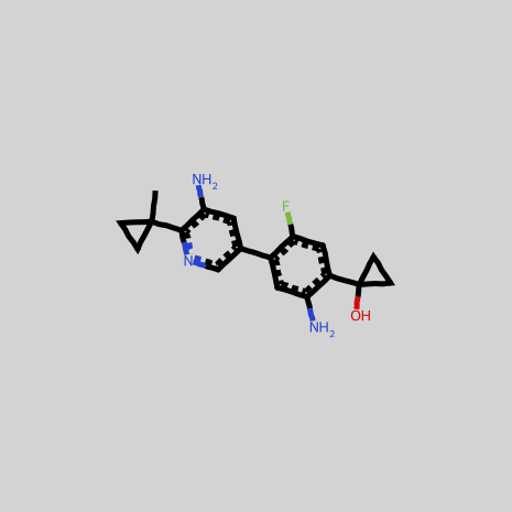 CC1(c2ncc(-c3cc(N)c(C4(O)CC4)cc3F)cc2N)CC1